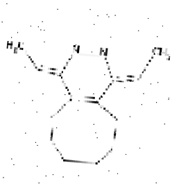 C/C=c1\nn/c(=C\C)c2c1CCCCCC2